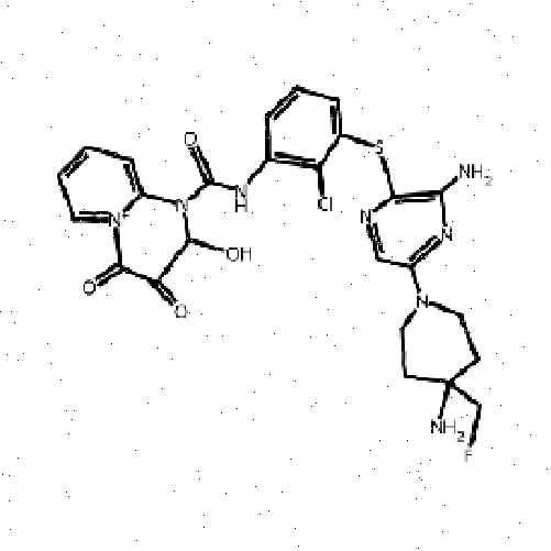 Nc1nc(N2CCC(N)(CF)CC2)cnc1Sc1cccc(NC(=O)N2c3cccc[n+]3C(=O)C(=O)C2O)c1Cl